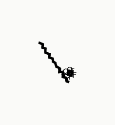 C/C=C/C=C(/C=C/CCCCCCCCCCC)OS(=O)(=O)C(F)(F)F